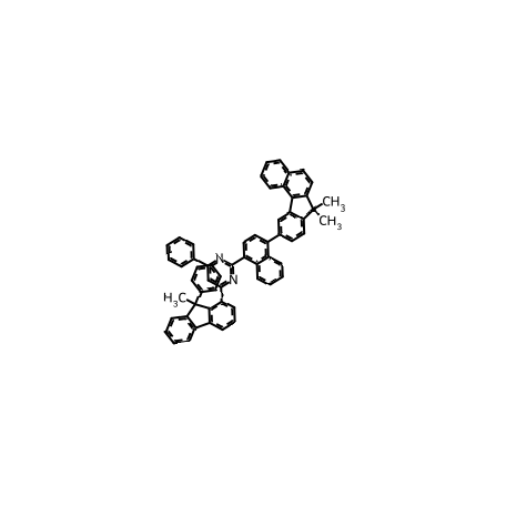 CC1(C)c2ccc(-c3ccc(-c4nc(-c5ccccc5)cc(-c5cccc6c5C(C)(c5ccccc5)c5ccccc5-6)n4)c4ccccc34)cc2-c2c1ccc1ccccc21